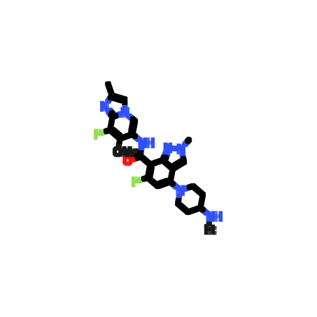 CCNC1CCN(c2cc(F)c(C(=O)Nc3cn4cc(C)nc4c(F)c3OC)c3nn(C)cc23)CC1